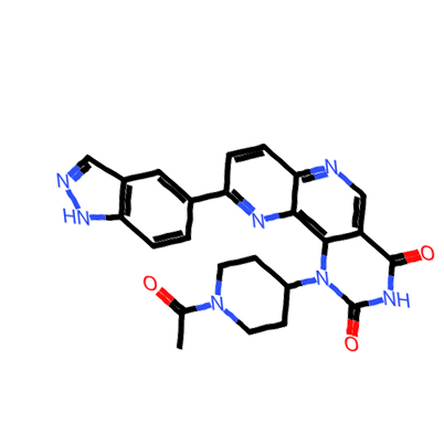 CC(=O)N1CCC(n2c(=O)[nH]c(=O)c3cnc4ccc(-c5ccc6[nH]ncc6c5)nc4c32)CC1